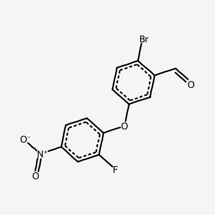 O=Cc1cc(Oc2ccc([N+](=O)[O-])cc2F)ccc1Br